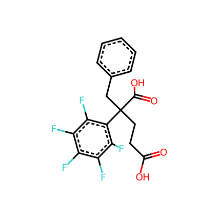 O=C(O)CCC(Cc1ccccc1)(C(=O)O)c1c(F)c(F)c(F)c(F)c1F